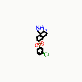 NCC1CCCc2cc(S(=O)(=O)c3cccc(Cl)c3)ccc21